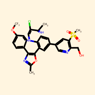 CC(=N)/C(Cl)=C\Nc1ccc(-c2cnc(CO)c(S(C)(=O)=O)c2)cc1-c1oc(C)nc1-c1ccc(OC(F)(F)F)cc1